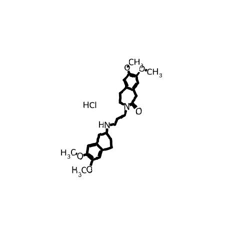 COc1cc2c(cc1OC)CC(=O)N(CCCNC1CCc3cc(OC)c(OC)cc3C1)CC2.Cl